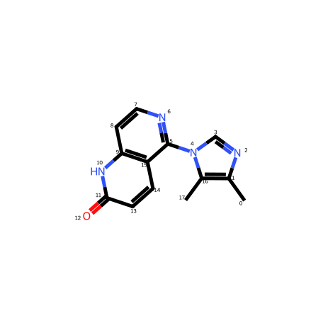 Cc1ncn(-c2nccc3[nH]c(=O)ccc23)c1C